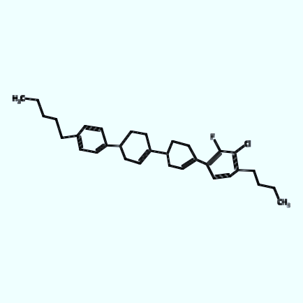 CCCCCc1ccc(C2CC=C(C3CC=C(c4ccc(CCCC)c(Cl)c4F)CC3)CC2)cc1